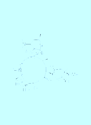 CC[C@H]1CC(=O)[C@H](C)[C@@H](O[C@H]2C[C@@](C)(OC)[C@@H](O)[C@H](C)O2)[C@H](C)[C@@H](O[C@@H]2O[C@H](C)CC(N(C)C)[C@H]2OC(C)=O)[C@](C)(O)C[C@@H](C)CN(C)[C@H](C)[C@@H](O)[C@]1(C)O